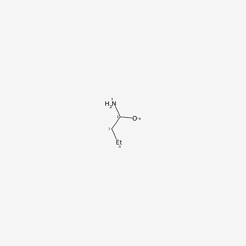 CCCC(N)[O]